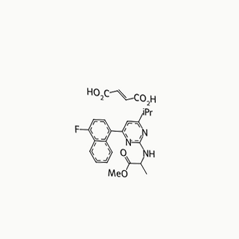 COC(=O)C(C)Nc1nc(-c2ccc(F)c3ccccc23)cc(C(C)C)n1.O=C(O)C=CC(=O)O